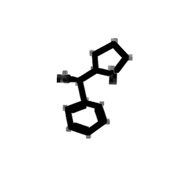 O[C@H](c1ccccc1)C1CCCN1